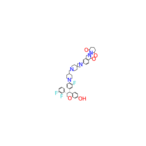 O=C1c2ccc(N3CC4(CCN(CC5CCN(c6ccc([C@@H]7c8ccc(O)cc8OC[C@@H]7c7cccc(F)c7F)cc6F)CC5)CC4)C3)cc2CN1N1C(=O)CCCC1=O